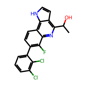 CC(O)c1nc2c(F)c(-c3cccc(Cl)c3Cl)ccc2c2[nH]ccc12